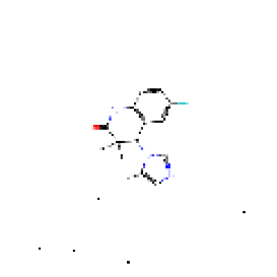 CCOC(=O)c1cncn1C1c2cc(F)ccc2NC(=O)C1(C)C